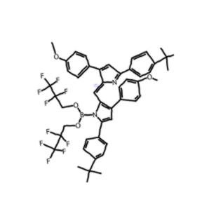 COc1ccc(C2=CC(c3ccc(C(C)(C)C)cc3)=N/C2=C\c2c(-c3ccc(OC)cc3)cc(-c3ccc(C(C)(C)C)cc3)n2B(OCC(F)(F)C(F)(F)F)OCC(F)(F)C(F)(F)F)cc1